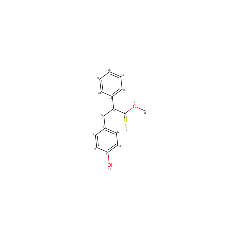 COC(=S)C(Cc1ccc(O)cc1)c1ccccc1